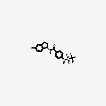 CN(c1ccc(C(=O)N[C@@H]2CCc3cc(Cl)ccc32)cc1)S(=O)(=O)C(F)(F)F